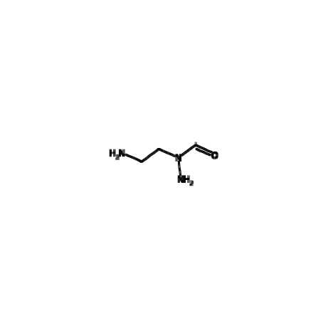 NCCN(N)[C]=O